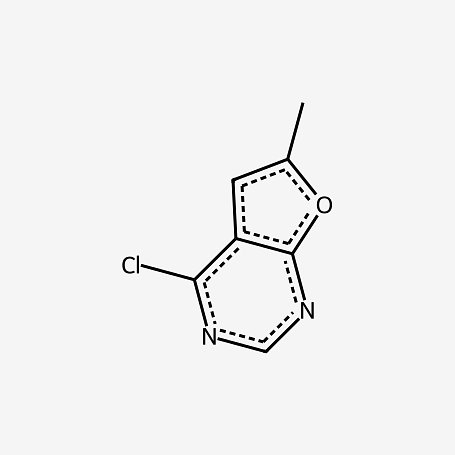 Cc1cc2c(Cl)ncnc2o1